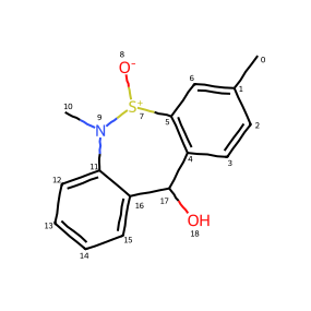 Cc1ccc2c(c1)[S+]([O-])N(C)c1ccccc1C2O